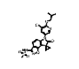 CC(C)COc1ncc(N2C(=O)C3(CC3)c3c2ccc2c(NS(C)(=O)=O)noc32)cc1Cl